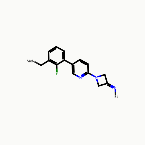 CCN=C1CN(c2ccc(-c3cccc(CNC)c3F)cn2)C1